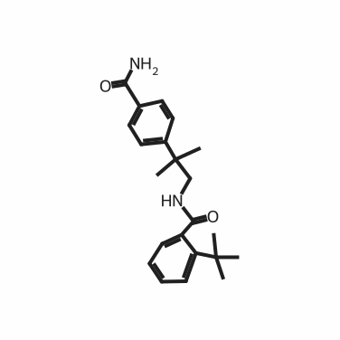 CC(C)(C)c1ccccc1C(=O)NCC(C)(C)c1ccc(C(N)=O)cc1